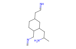 C=NCC1CCC(CC=N)CC1CC(C)N